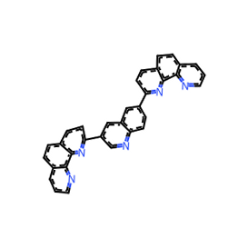 c1cnc2c(c1)ccc1ccc(-c3ccc4ncc(-c5ccc6ccc7cccnc7c6n5)cc4c3)nc12